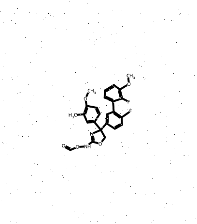 COc1ccc(C2(c3ccc(F)c(-c4cccc(OC)c4F)c3)COC(NOC=O)=N2)cc1C